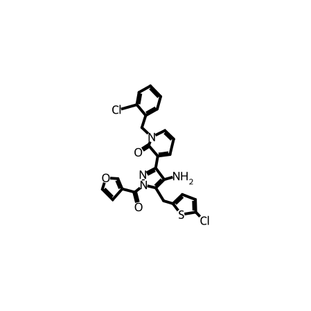 Nc1c(-c2cccn(Cc3ccccc3Cl)c2=O)nn(C(=O)c2ccoc2)c1Cc1ccc(Cl)s1